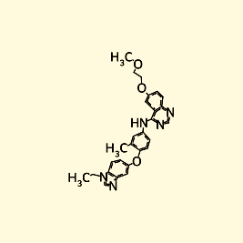 CCn1cnc2cc(Oc3ccc(Nc4ncnc5ccc(OCCOC)cc45)cc3C)ccc21